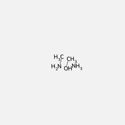 CN.CO.N